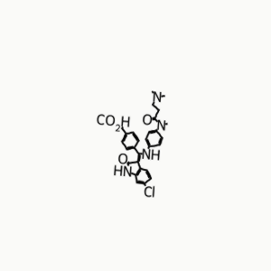 CN(C)CCC(=O)N(C)c1ccc(NC(=C2C(=O)Nc3cc(Cl)ccc32)c2ccc(CC(=O)O)cc2)cc1